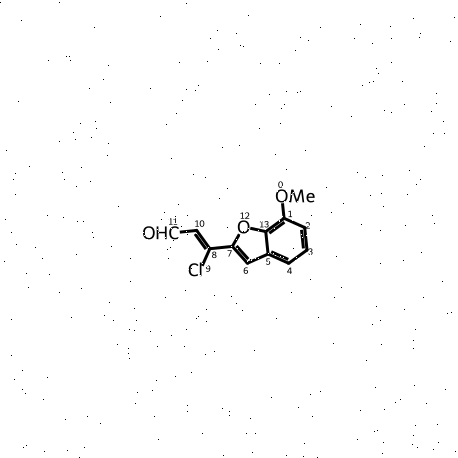 COc1cccc2cc(C(Cl)=CC=O)oc12